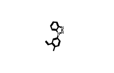 C=Cc1cc(-n2nnc3ccccc32)ccc1C